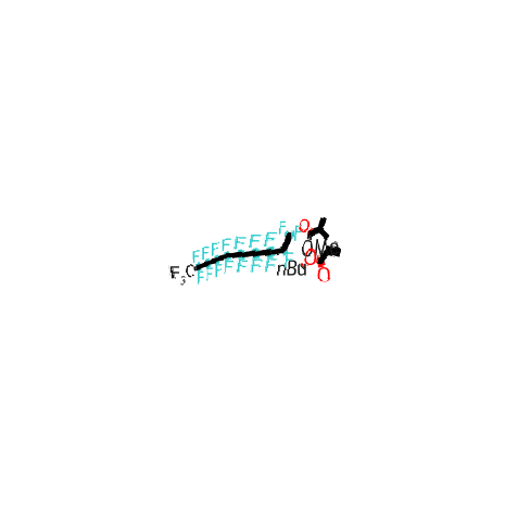 C=C(C)C(=O)OC.C=CC(=O)OCCCC.FC(F)=C(F)C(F)(F)C(F)(F)C(F)(F)C(F)(F)C(F)(F)C(F)(F)C(F)(F)C(F)(F)F